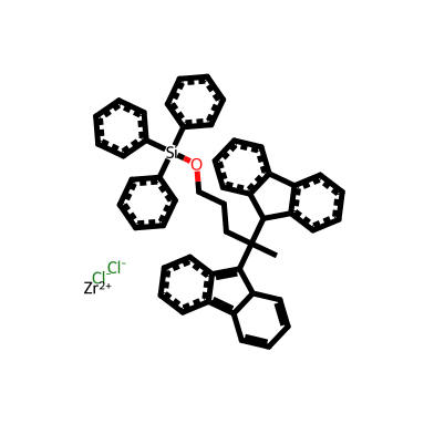 CC(CCCO[Si](c1ccccc1)(c1ccccc1)c1ccccc1)(C1=c2ccccc2=C2C=CC=CC21)C1c2ccccc2-c2ccccc21.[Cl-].[Cl-].[Zr+2]